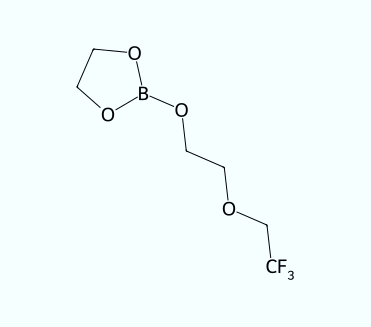 FC(F)(F)COCCOB1OCCO1